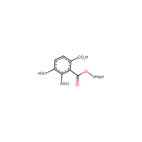 CCCCCCCCc1ccc(C(=O)O)c(C(=O)OCCCCCCC)c1CCCCCCCC